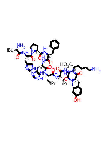 CC[C@H](C)[C@H](N)C(=O)N[C@@H](Cc1c[nH]cn1)C(=O)N1CCC[C@H]1C(=O)N[C@@H](Cc1ccccc1)C(=O)N[C@@H](Cc1c[nH]cn1)C(=O)N[C@@H](CC(C)C)C(=O)N[C@@H](CC(C)C)C(=O)N[C@H](C(=O)N[C@@H](Cc1ccc(O)cc1)C(=O)N[C@@H](CCCCN)C(=O)O)C(C)C